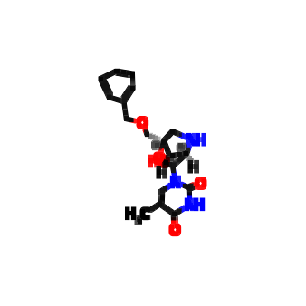 Cc1cn(C2O[C@@]3(COCc4ccccc4)CN[C@@H]2[C@@H]3O)c(=O)[nH]c1=O